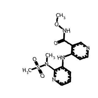 CONC(=O)c1cnccc1Nc1cccnc1N(C)S(C)(=O)=O